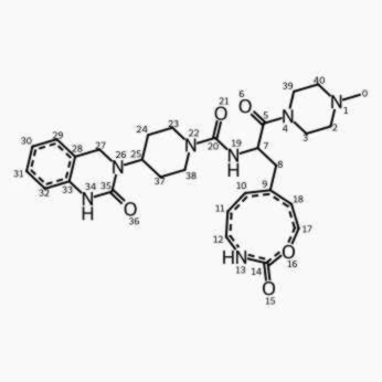 CN1CCN(C(=O)C(Cc2ccc[nH]c(=O)occ2)NC(=O)N2CCC(N3Cc4ccccc4NC3=O)CC2)CC1